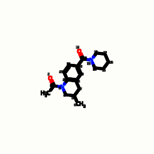 CC(=O)N1CC(C)Cc2cc(C(=O)N3CCCCC3)ccc21